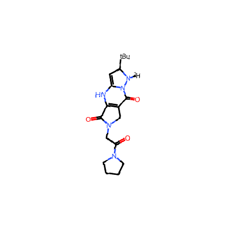 [2H]N1C(C(C)(C)C)C=C2NC3=C(CN(CC(=O)N4CCCC4)C3=O)C(=O)N21